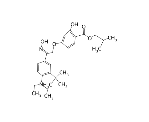 CCN(CC)c1ccc(/C(COc2ccc(C(=O)OCC(C)C)c(O)c2)=N/O)cc1C(C)(C)C